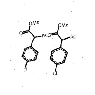 COC(=O)C(C(C)=O)c1ccc(Cl)cc1.COC(=O)C(C(C)=O)c1ccc(Cl)cc1